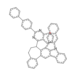 c1ccc(-c2ccc(-c3nc(C4CCc5ccccc5-c5cc6c7ccccc7n7c8cc9ccccc9cc8c(c54)c67)c4ccccc4n3)cc2)cc1